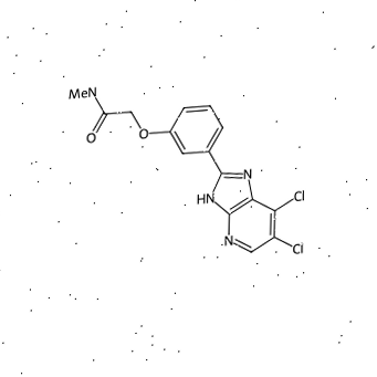 CNC(=O)COc1cccc(-c2nc3c(Cl)c(Cl)cnc3[nH]2)c1